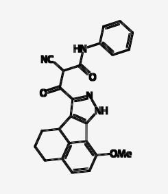 COc1ccc2c3c1-c1[nH]nc(C(=O)C(C#N)C(=O)Nc4ccccc4)c1C3CCC2